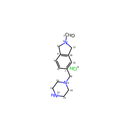 Cl.O=CN1Cc2ccc(CN3CCNCC3)cc2C1